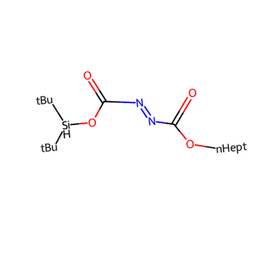 CCCCCCCOC(=O)N=NC(=O)O[SiH](C(C)(C)C)C(C)(C)C